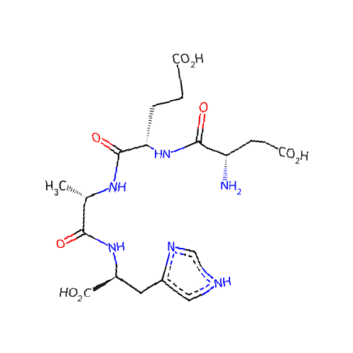 C[C@H](NC(=O)[C@H](CCC(=O)O)NC(=O)[C@@H](N)CC(=O)O)C(=O)N[C@@H](Cc1c[nH]cn1)C(=O)O